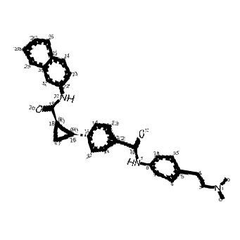 CN(C)CCc1ccc(NC(=O)c2ccc([C@@H]3C[C@H]3C(=O)Nc3ccc4ccccc4c3)cc2)cc1